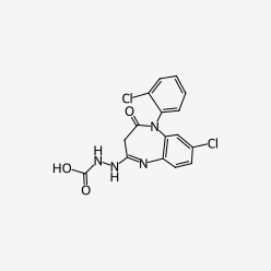 O=C(O)NNC1=Nc2ccc(Cl)cc2N(c2ccccc2Cl)C(=O)C1